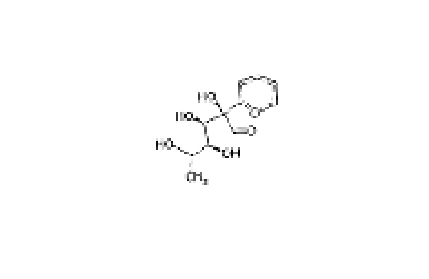 C[C@H](O)[C@H](O)[C@@H](O)[C@@](O)(C=O)c1cccc[o+]1